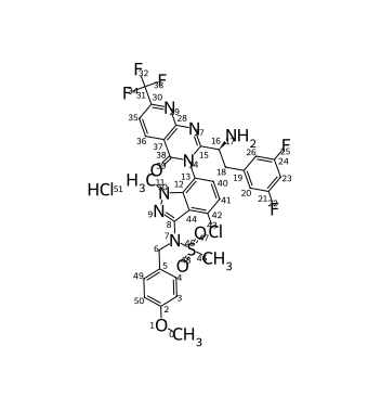 COc1ccc(CN(c2nn(C)c3c(-n4c([C@@H](N)Cc5cc(F)cc(F)c5)nc5nc(C(F)(F)F)ccc5c4=O)ccc(Cl)c23)S(C)(=O)=O)cc1.Cl